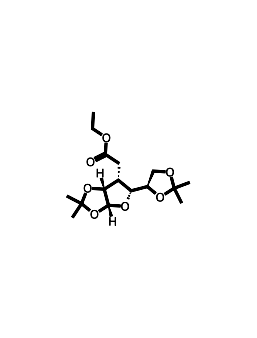 CCOC(=O)C[C@@H]1[C@H]([C@H]2COC(C)(C)O2)O[C@@H]2OC(C)(C)O[C@@H]21